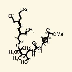 C=C/C(=C\C=C(/CCl)CCC(C)(C)C)CCOC(C)(C)C(C)C(CO)CNC(=O)NC12CC(C(=O)OC)(C1)C2